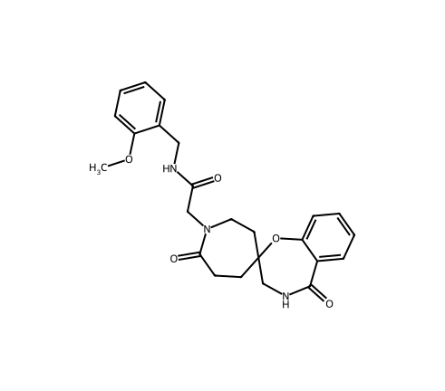 COc1ccccc1CNC(=O)CN1CCC2(CCC1=O)CNC(=O)c1ccccc1O2